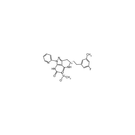 Cc1cc(F)cc(CC[C@H]2Cc3nn(-c4ccccn4)c(NC(=O)C[S+](C)[O-])c3C(=O)N2)c1